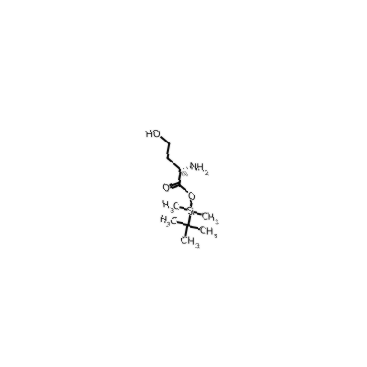 CC(C)(C)[Si](C)(C)OC(=O)[C@@H](N)CCO